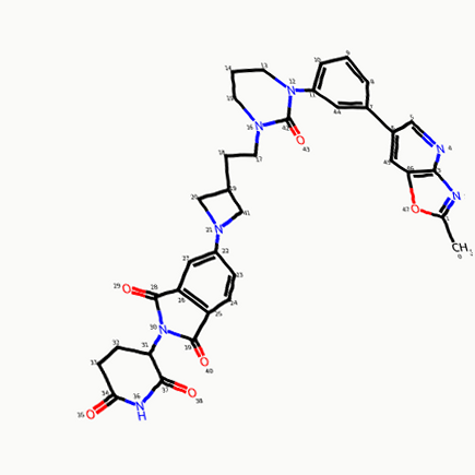 Cc1nc2ncc(-c3cccc(N4CCCN(CCC5CN(c6ccc7c(c6)C(=O)N(C6CCC(=O)NC6=O)C7=O)C5)C4=O)c3)cc2o1